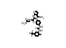 NC(=O)CNC(=O)C1N=c2occc2=C(N)N1c1ccc(NC(=O)Nc2cc(C(F)(F)F)ccc2F)cc1